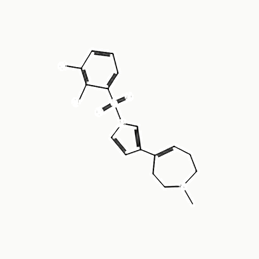 CN1CCC=C(c2ccn(S(=O)(=O)c3cccc(Cl)c3Cl)c2)CC1